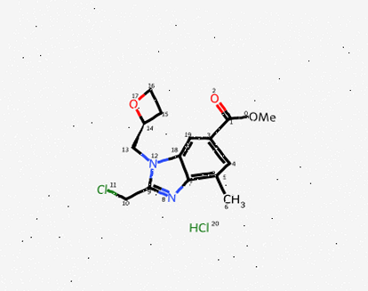 COC(=O)c1cc(C)c2nc(CCl)n(C[C@@H]3CCO3)c2c1.Cl